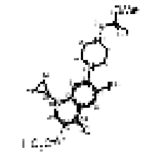 COC(=O)SN1CCN(c2cc3c(cc2F)c(=O)c(OC(=O)O)cn3C2CC2)CC1